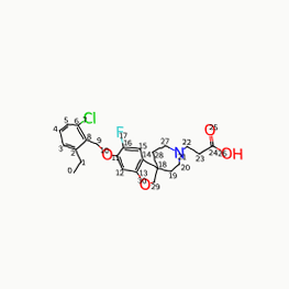 CCc1cccc(Cl)c1COc1cc2c(cc1F)C1(CCN(CCC(=O)O)CC1)CO2